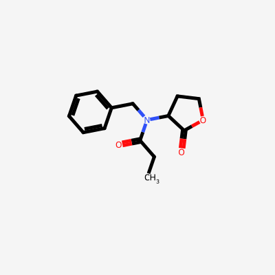 CCC(=O)N(Cc1ccccc1)C1CCOC1=O